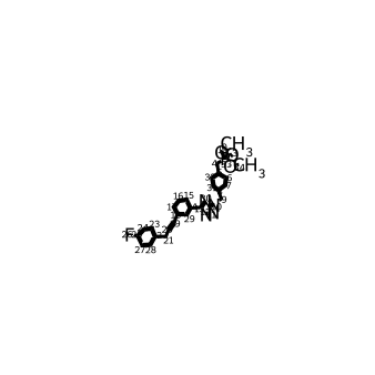 COP(=O)(Cc1ccc(Cn2nnc(-c3cccc(C#CCc4ccc(F)cc4)c3)n2)cc1)OC